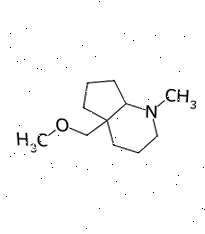 COCC12CCCC1N(C)CCC2